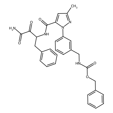 Cc1cc(C(=O)NC(Cc2ccccc2)C(=O)C(N)=O)n(-c2cccc(CNC(=O)OCc3ccccc3)c2)n1